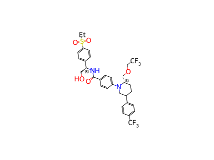 CCS(=O)(=O)c1ccc([C@H](CO)NC(=O)c2ccc(N3CC(c4ccc(C(F)(F)F)cc4)CC[C@H]3COCC(F)(F)F)cc2)cc1